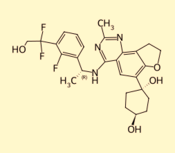 Cc1nc(N[C@H](C)c2cccc(C(F)(F)CO)c2F)c2cc([C@]3(O)CC[C@H](O)CC3)c3c(c2n1)CCO3